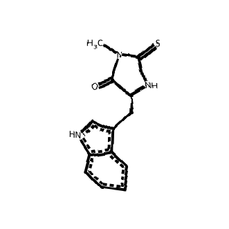 CN1C(=O)[C@H](Cc2c[nH]c3ccccc23)NC1=S